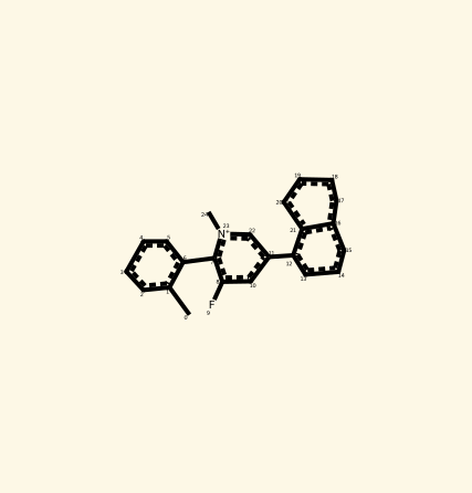 Cc1ccccc1-c1c(F)cc(-c2cccc3ccccc23)c[n+]1C